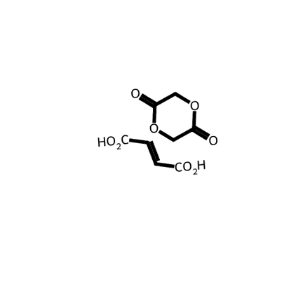 O=C(O)/C=C/C(=O)O.O=C1COC(=O)CO1